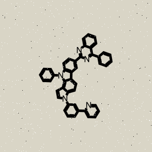 c1ccc(-c2nc(-c3ccc4c(c3)c3ccc5c(ccn5-c5cccc(-c6ccccn6)c5)c3n4-c3ccccc3)nc3ccccc23)cc1